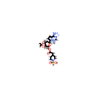 CC1(C)O[C@H]2[C@H](C[C@](C#N)(c3ccc4c(N)ncnn34)O[C@@H]2COC(=O)CC2CCN(S(C)(=O)=O)CC2)O1